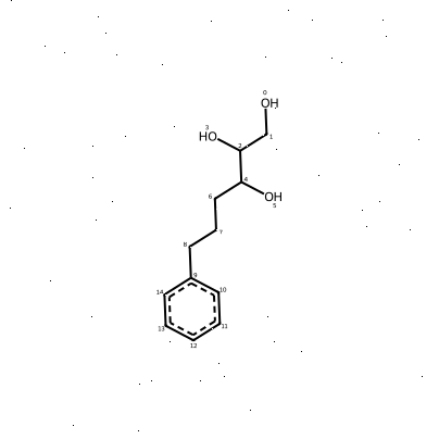 OCC(O)C(O)CCCc1ccccc1